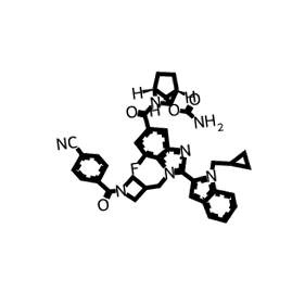 N#Cc1ccc(C(=O)N2CC(Cn3c(-c4cc5ccccc5n4CC4CC4)nc4cc(C(=O)N5C[C@H]6CC[C@@H]5[C@@H]6OC(N)=O)cc(F)c43)C2)cc1